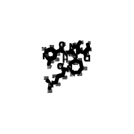 C/C=C(/Cl)c1c(C)nc(NC(=O)c2ccnc(C)c2)n1C1CCCCN(C(=O)/C=C/CN(C)C)C1